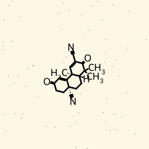 CC1(C)C(=O)C(C#N)=C[C@]2(C)C3=CC(=O)CC[C@]3(C#N)CC[C@@H]12